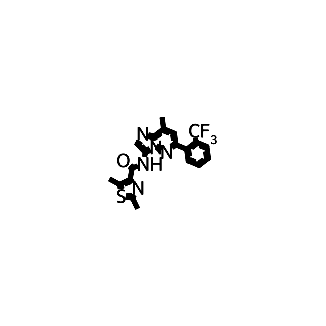 Cc1nc(C(=O)Nc2cnc3c(C)cc(-c4ccccc4C(F)(F)F)nn23)c(C)s1